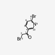 O=C(CBr)c1ccc(Br)nc1